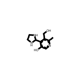 Cc1ncc(O)c(C2NCCN2)c1CO